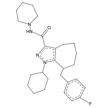 O=C(NN1CCCCC1)c1nn(C2CCCCC2)c2c1CCCCC2Cc1ccc(F)cc1